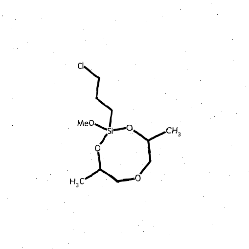 CO[Si]1(CCCCl)OC(C)COCC(C)O1